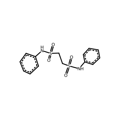 O=S(=O)(CCS(=O)(=O)Nc1ccccc1)Nc1ccccc1